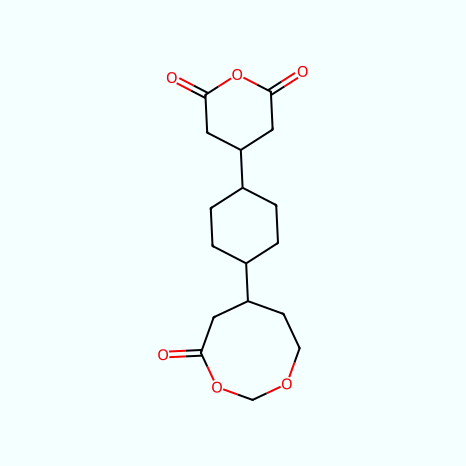 O=C1CC(C2CCC(C3CC(=O)OC(=O)C3)CC2)CCOCO1